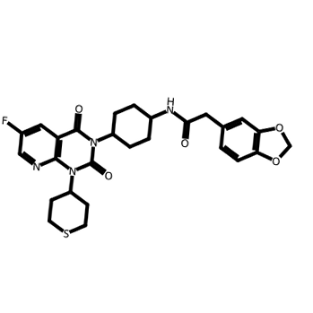 O=C(Cc1ccc2c(c1)OCO2)NC1CCC(n2c(=O)c3cc(F)cnc3n(C3CCSCC3)c2=O)CC1